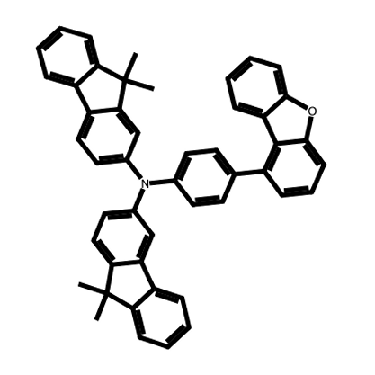 CC1(C)c2ccccc2-c2cc(N(c3ccc(-c4cccc5oc6ccccc6c45)cc3)c3ccc4c(c3)C(C)(C)c3ccccc3-4)ccc21